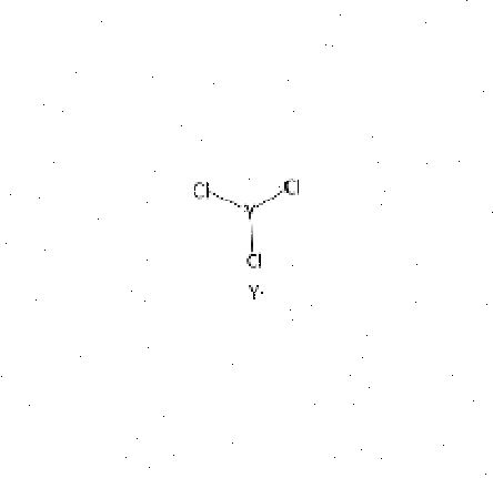 [Cl][Y]([Cl])[Cl].[Y]